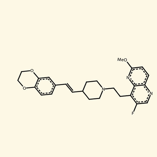 COc1ccc2ncc(F)c(CCN3CCC(C=Cc4ccc5c(c4)OCCO5)CC3)c2n1